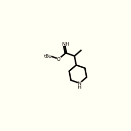 CC(C(=N)OC(C)(C)C)C1CCNCC1